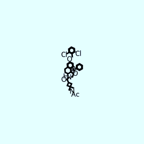 CC(=O)N1CC2(CC(C(=O)N3CC[C@@]4(S(=O)(=O)c5ccccc5)c5ccc(OCc6c(Cl)cccc6Cl)cc5CC[C@@H]34)C2)C1